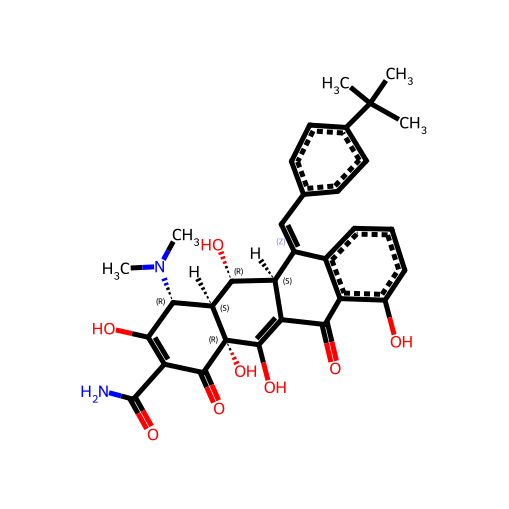 CN(C)[C@H]1C(O)=C(C(N)=O)C(=O)[C@]2(O)C(O)=C3C(=O)c4c(O)cccc4/C(=C\c4ccc(C(C)(C)C)cc4)[C@@H]3[C@@H](O)[C@H]12